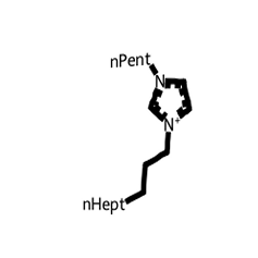 CCCCCCCCCC[n+]1ccn(CCCCC)c1